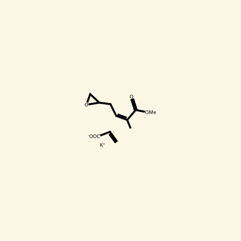 C=CC(=O)[O-].COC(=O)C(C)=CCC1CO1.[K+]